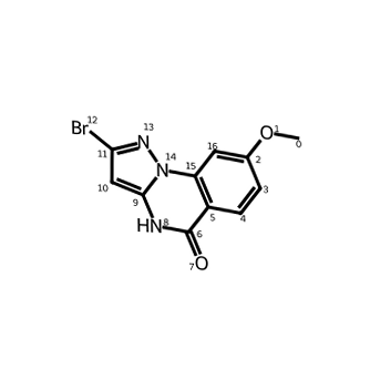 COc1ccc2c(=O)[nH]c3cc(Br)nn3c2c1